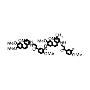 COc1ccc(C(=O)CCNC2=CC(C)CC=C2/C=C\c2cc(OC)c(OC)c(OOc3cc(C(=O)/C=C\Nc4ccccc4/C=C\c4cc(OC)c(OC)c(OC)c4)ccc3OC)c2)cc1F